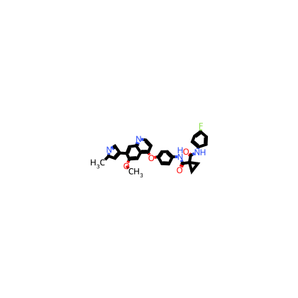 COc1cc2c(Oc3ccc(NC(=O)C4(C(=O)Nc5ccc(F)cc5)CC4)cc3)ccnc2cc1C1=CC(C)N=C1